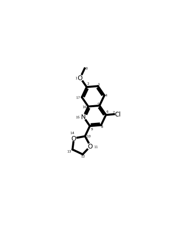 COc1ccc2c(Cl)cc(C3OCCO3)nc2c1